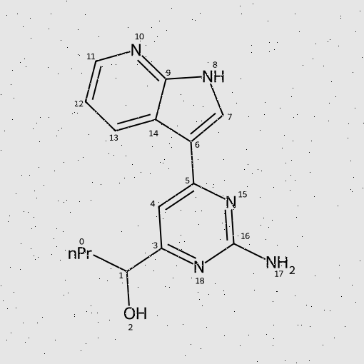 CCCC(O)c1cc(-c2c[nH]c3ncccc23)nc(N)n1